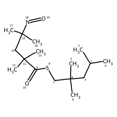 CC(C)CC(C)(C)CSC(=O)C(C)(C)CC(C)(C)N=O